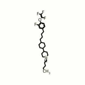 CCCCC[SiH]1CCC(C2CCC(CCCCc3ccc(OC(F)=C(F)F)c(F)c3)CC2)CC1